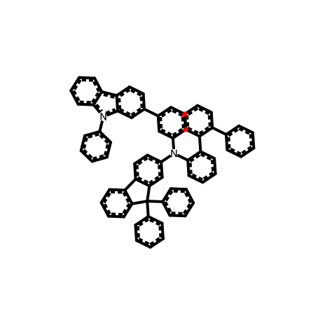 c1ccc(-c2ccccc2-c2ccccc2N(c2cccc(-c3ccc4c5ccccc5n(-c5ccccc5)c4c3)c2)c2ccc3c(c2)C(c2ccccc2)(c2ccccc2)c2ccccc2-3)cc1